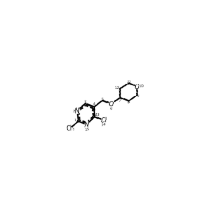 Clc1ncc(COC2CCOCC2)c(Cl)n1